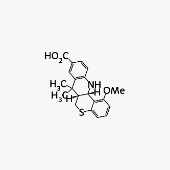 COc1cccc2c1[C@H]1Nc3ccc(C(=O)O)cc3C(C)(C)[C@H]1CS2